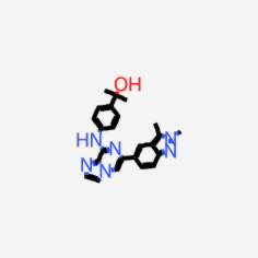 Cc1c2cc(-c3cn4ccnc4c(Nc4ccc(C(C)(C)O)cc4)n3)ccc2nn1C